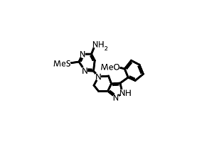 COc1ccccc1-c1[nH]nc2c1CN(c1cc(N)nc(SC)n1)CC2